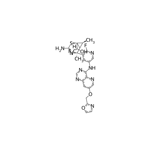 C[C@H]1[C@@H]2[C@@]1([C@@H](O)C(F)(F)F)SC(N)=N[C@]2(C)c1cc(Nc2ncnc3cc(OCc4ncco4)cnc23)cnc1F